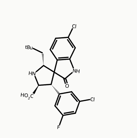 CC(C)(C)C[C@H]1N[C@H](C(=O)O)[C@@H](c2cc(F)cc(Cl)c2)C12C(=O)Nc1cc(Cl)ccc12